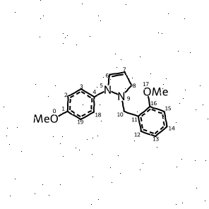 COc1ccc(N2C=CCN2Cc2ccccc2OC)cc1